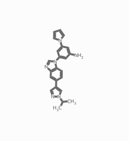 CC(C)n1cc(-c2ccc3c(c2)ncn3-c2cc(N)cc(-n3cccc3)c2)cn1